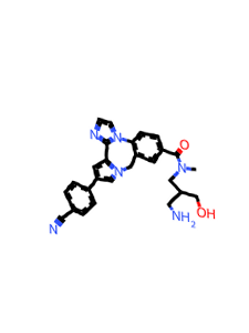 CN(CC(CN)CO)C(=O)c1ccc2c(c1)Cn1cc(-c3ccc(C#N)cc3)cc1-c1nccn1-2